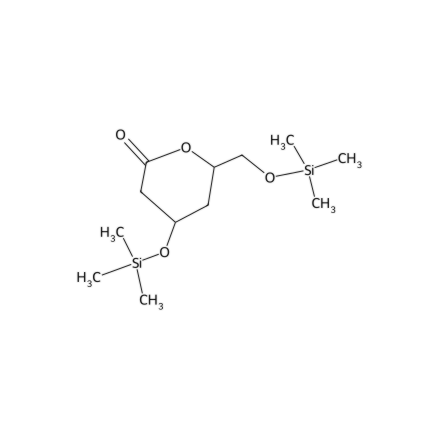 C[Si](C)(C)OCC1CC(O[Si](C)(C)C)CC(=O)O1